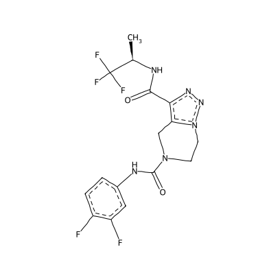 C[C@@H](NC(=O)c1nnn2c1CN(C(=O)Nc1ccc(F)c(F)c1)CC2)C(F)(F)F